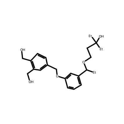 CCC(OCCC(O)(CC)CC)c1cccc(OCc2ccc(CO)c(CO)c2)c1